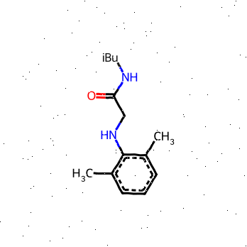 CCC(C)NC(=O)CNc1c(C)cccc1C